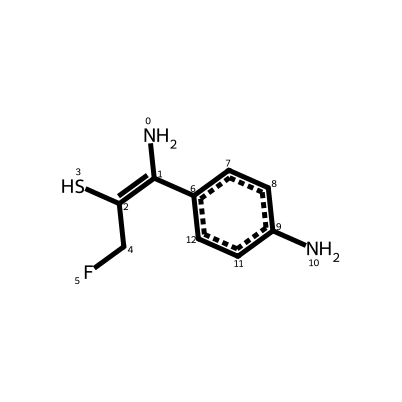 N/C(=C(\S)CF)c1ccc(N)cc1